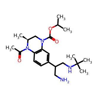 CC(=O)N1c2ccc(C(CN)CNC(C)(C)C)cc2N(C(=O)OC(C)C)C[C@@H]1C